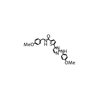 COc1ccc(CNC(=O)c2ccc(-c3ccnc(Nc4ccc(OC)cc4)n3)s2)cc1